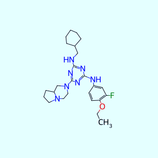 CCOc1ccc(Nc2nc(NCC3CCCCC3)nc(N3CCN4CCCC4C3)n2)cc1F